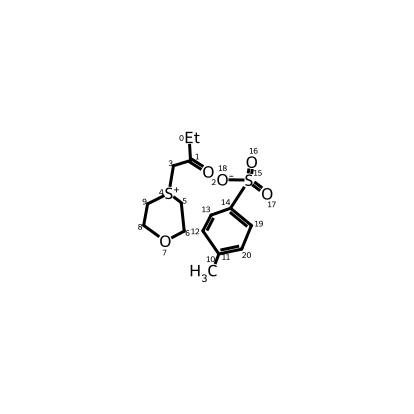 CCC(=O)C[S+]1CCOCC1.Cc1ccc(S(=O)(=O)[O-])cc1